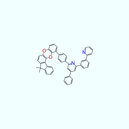 CC1(C)c2ccccc2-c2c1ccc1c2Oc2c(cccc2-c2ccc(-c3cc(-c4ccccc4)cc(-c4cccc(-c5ccccn5)c4)n3)cc2)O1